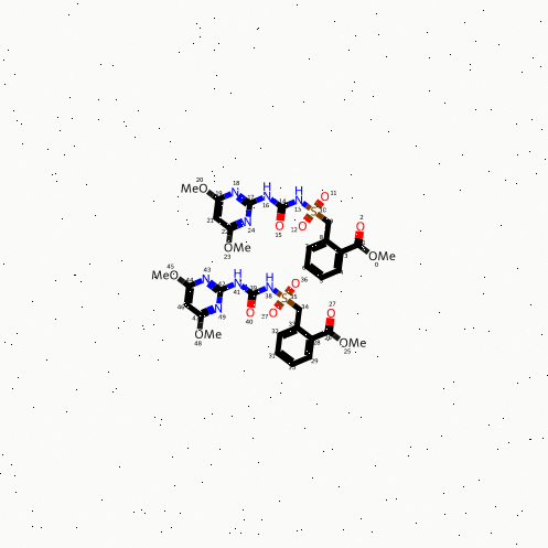 COC(=O)c1ccccc1CS(=O)(=O)NC(=O)Nc1nc(OC)cc(OC)n1.COC(=O)c1ccccc1CS(=O)(=O)NC(=O)Nc1nc(OC)cc(OC)n1